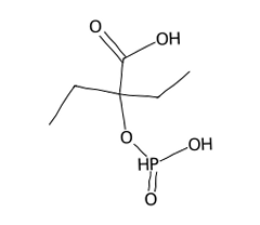 CCC(CC)(O[PH](=O)O)C(=O)O